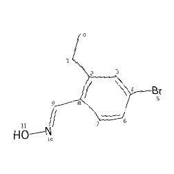 CCc1cc(Br)ccc1/C=N/O